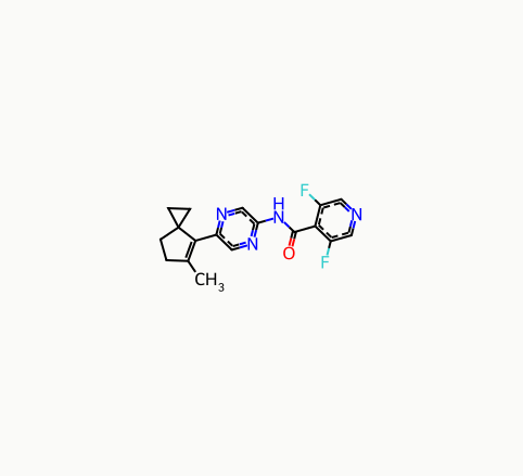 CC1=C(c2cnc(NC(=O)c3c(F)cncc3F)cn2)C2(CC1)CC2